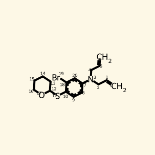 C=CCN(CC=C)c1ccc(SC2CCCCO2)c(Br)c1